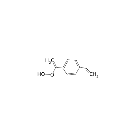 C=Cc1ccc(C(=C)OO)cc1